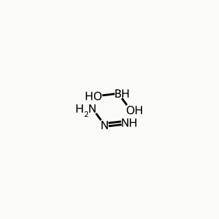 N=NN.OBO